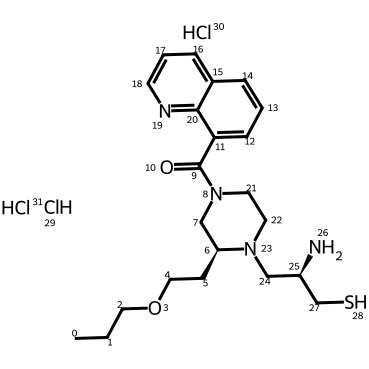 CCCOCC[C@H]1CN(C(=O)c2cccc3cccnc23)CCN1C[C@@H](N)CS.Cl.Cl.Cl